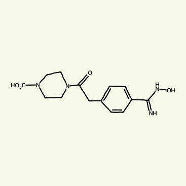 N=C(NO)c1ccc(CC(=O)N2CCN(C(=O)O)CC2)cc1